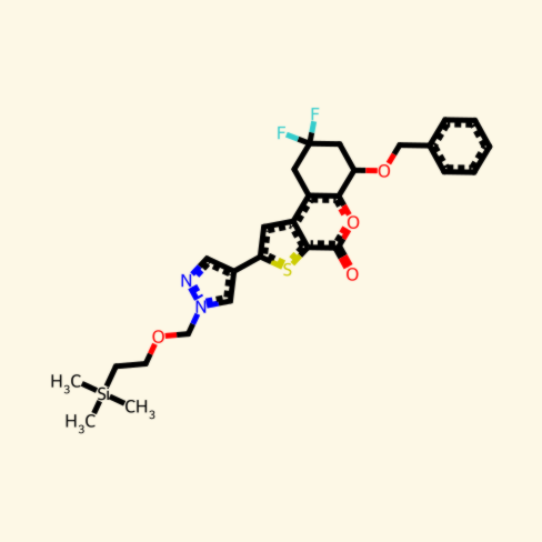 C[Si](C)(C)CCOCn1cc(-c2cc3c4c(oc(=O)c3s2)C(OCc2ccccc2)CC(F)(F)C4)cn1